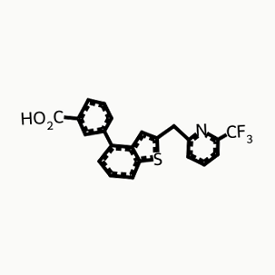 O=C(O)c1cccc(-c2cccc3sc(Cc4cccc(C(F)(F)F)n4)cc23)c1